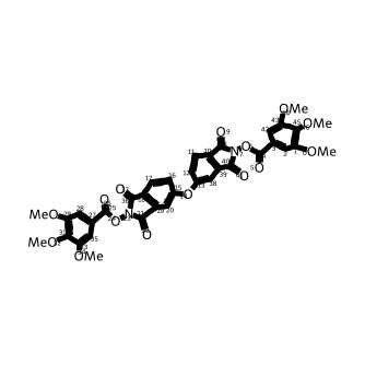 COc1cc(C(=O)ON2C(=O)c3ccc(Oc4ccc5c(c4)C(=O)N(OC(=O)c4cc(OC)c(OC)c(OC)c4)C5=O)cc3C2=O)cc(OC)c1OC